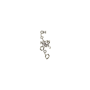 N[N+]12C=CN=CC1=C(C1CC(CO)C1)N=C2c1cccc(OCc2ccccc2)c1